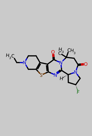 CCN1CCc2c(sc3nc4n(c(=O)c23)C(C)(C)CC(=O)N2C[C@H](F)C[C@@H]42)C1